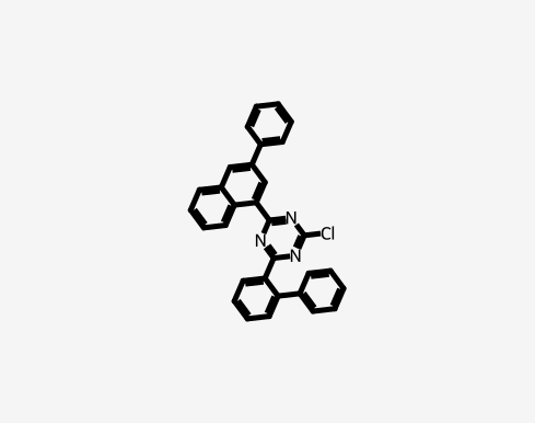 Clc1nc(-c2ccccc2-c2ccccc2)nc(-c2cc(-c3ccccc3)cc3ccccc23)n1